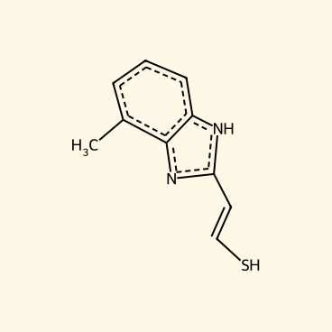 Cc1cccc2[nH]c(C=CS)nc12